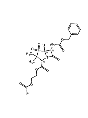 CC(C)C(=O)OCCOC(=O)[C@@H]1N2C(=O)[C@@H](NC(=O)OCc3ccccc3)[C@H]2S(=O)(=O)C1(C)C